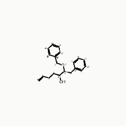 C=CCC[C@H](O)[C@H](Cc1ccccc1)OCc1ccccc1